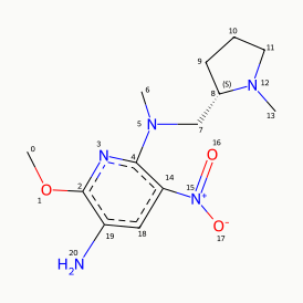 COc1nc(N(C)C[C@@H]2CCCN2C)c([N+](=O)[O-])cc1N